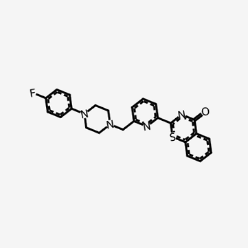 O=c1nc(-c2cccc(CN3CCN(c4ccc(F)cc4)CC3)n2)sc2ccccc12